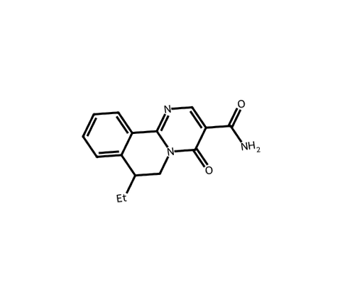 CCC1Cn2c(ncc(C(N)=O)c2=O)-c2ccccc21